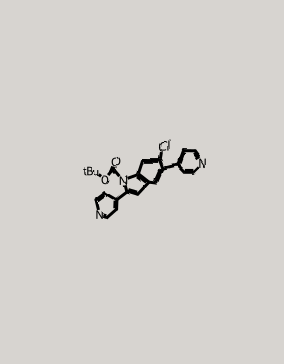 CC(C)(C)OC(=O)n1c(-c2ccncc2)cc2cc(-c3ccncc3)c(Cl)cc21